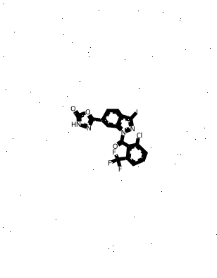 O=C(c1c(Cl)cccc1C(F)(F)F)n1nc(I)c2ccc(-c3n[nH]c(=O)o3)cc21